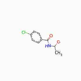 CC([O])NC(=O)c1ccc(Cl)cc1